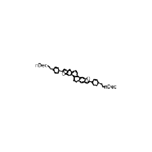 CCCCCCCCCCCCc1ccc(-c2cc3cc4ccc5c6cc7oc(-c8ccc(CCCCCCCCCCCC)cc8)cc7cc6ccc5c4cc3o2)cc1